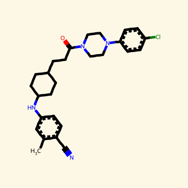 Cc1cc(NC2CCC(CCC(=O)N3CCN(c4ccc(Cl)cc4)CC3)CC2)ccc1C#N